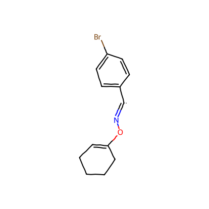 Brc1ccc([C]=NOC2=CCCCC2)cc1